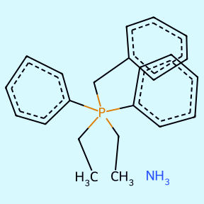 CCP(CC)(Cc1ccccc1)(c1ccccc1)c1ccccc1.N